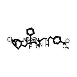 COC(=O)c1ccc(CNCc2noc(C(F)(C3CC4CC5=C(Cl)C(=C4N3)C=C5)S(=O)(=O)c3ccccc3)n2)cc1